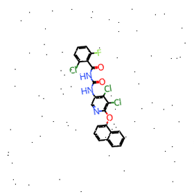 O=C(NC(=O)c1c(F)cccc1Cl)Nc1cnc(Oc2cccc3ccccc23)c(Cl)c1Cl